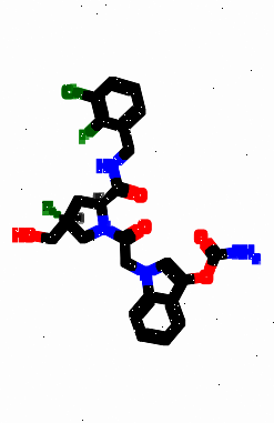 NC(=O)Oc1cn(CC(=O)N2C[C@@](F)(CO)C[C@H]2C(=O)NCc2cccc(Cl)c2F)c2ccccc12